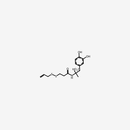 C=CCSSCCC(=O)NC(C)(Cc1ccc(O)c(O)c1)C(=O)O